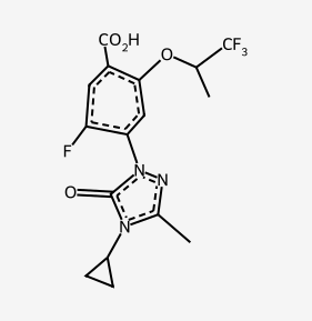 Cc1nn(-c2cc(OC(C)C(F)(F)F)c(C(=O)O)cc2F)c(=O)n1C1CC1